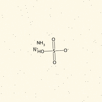 N.O=S(=O)([O-])O.[N+]